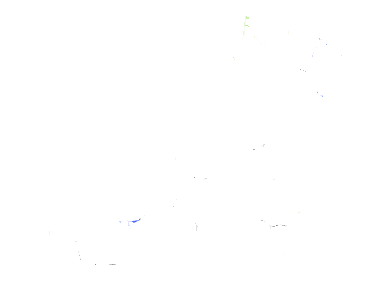 CO[C@H]1CCN([C@H]2C[C@@H]3[C@H](C2)[C@H]3c2cc(-c3cnc(N)c(C(F)(F)F)c3)nn2CC(F)F)C1